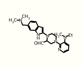 CCN(C)c1cccnc1N1CCN(c2cc3ccc(CN(C)C)cc3[nH]2)C(C=O)C1